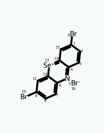 Brc1ccc2nc3ccc(Br)cc3[se+]c2c1.[Br-]